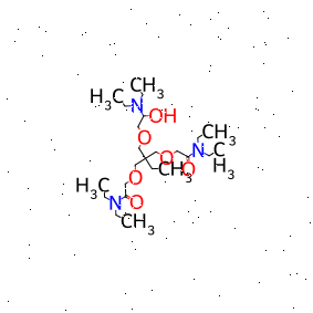 CCN(CC)C(=O)COCC(CC)(COCC(=O)N(CC)CC)COCC(O)N(CC)CC